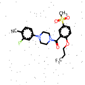 CS(=O)(=O)c1ccc(OCCC(F)(F)F)c(C(=O)N2CCN(c3ccc(C#N)c(F)c3)CC2)c1